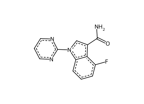 NC(=O)c1cn(-c2ncccn2)c2cccc(F)c12